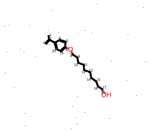 C=C(C)c1ccc(OCCCCCCCCCCO)cc1